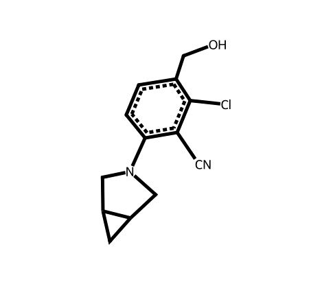 N#Cc1c(N2CC3CC3C2)ccc(CO)c1Cl